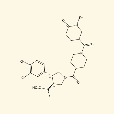 CC(C)N1CC(C(=O)N2CCC(C(=O)N3C[C@@H](N(C)C(=O)O)[C@H](c4ccc(Cl)c(Cl)c4)C3)CC2)CCC1=O